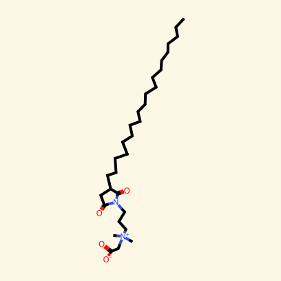 CCCCCCCCCCCCCCCCCCCCC1CC(=O)N(CCC[N+](C)(C)CC(=O)[O-])C1=O